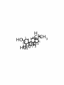 CC[C@@H]1[C@@H]([C@@]2(C)CC[C@H](O)C[C@@H]2CO)CC[C@]2(C)[C@@H](CC)CC[C@@H]12